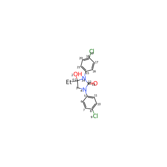 CCC1(O)CN(c2ccc(Cl)cc2)C(=O)N1c1ccc(Cl)cc1